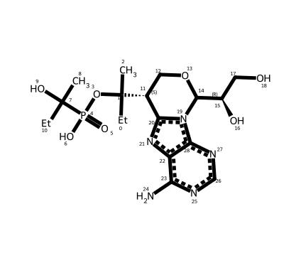 CCC(C)(OP(=O)(O)C(C)(O)CC)[C@@H]1COC([C@H](O)CO)n2c1nc1c(N)ncnc12